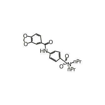 CCCN(CCC)S(=O)(=O)c1ccc(NC(=O)c2ccc3c(c2)OCO3)cc1